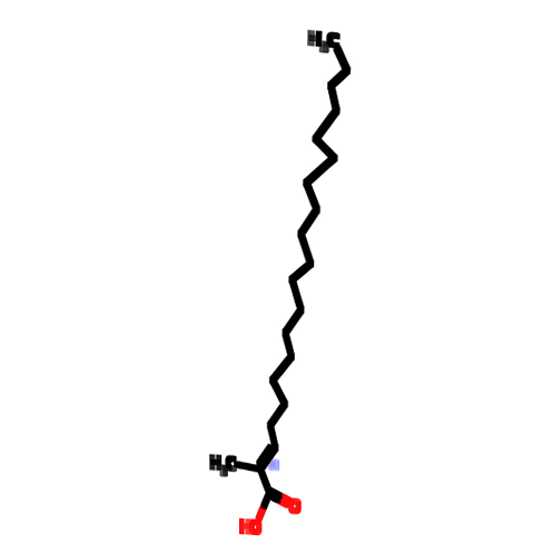 CCCCCCCCCCCCCCCCC/C=C(\C)C(=O)O